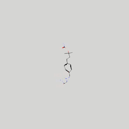 CC(C)(CCc1ccc(CN2CC(O)NS2(O)O)cc1)OC(N)=O